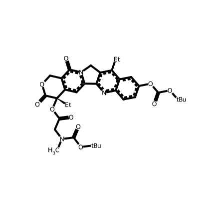 CCc1c2c(nc3ccc(OC(=O)OC(C)(C)C)cc13)-c1cc3c(c(=O)n1C2)COC(=O)[C@@]3(CC)OC(=O)CN(C)C(=O)OC(C)(C)C